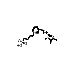 Cc1sc(=NN=Cc2ccc[n+](CCCCS(=O)(=O)O)c2)n(C)c1C